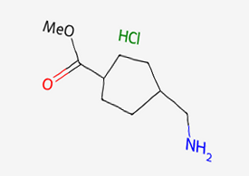 COC(=O)C1CCC(CN)CC1.Cl